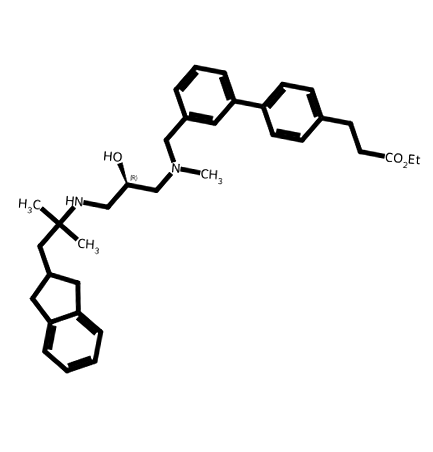 CCOC(=O)CCc1ccc(-c2cccc(CN(C)C[C@H](O)CNC(C)(C)CC3Cc4ccccc4C3)c2)cc1